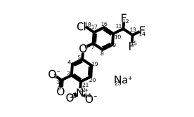 O=C([O-])c1cc(Oc2ccc(C(F)C(F)F)cc2Cl)ccc1[N+](=O)[O-].[Na+]